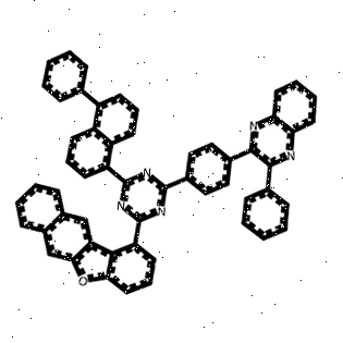 c1ccc(-c2nc3ccccc3nc2-c2ccc(-c3nc(-c4cccc5c(-c6ccccc6)cccc45)nc(-c4cccc5oc6cc7ccccc7cc6c45)n3)cc2)cc1